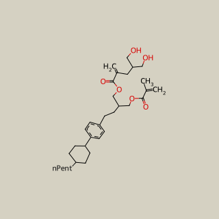 C=C(C)C(=O)OCC(CCc1ccc(C2CCC(CCCCC)CC2)cc1)COC(=O)C(=C)CC(CO)CO